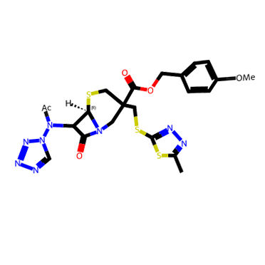 COc1ccc(COC(=O)C2(CSc3nnc(C)s3)CS[C@@H]3C(N(C(C)=O)n4cnnn4)C(=O)N3C2)cc1